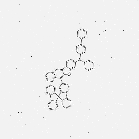 c1ccc(-c2ccc(N(c3ccccc3)c3ccc4c(c3)oc3c(-c5ccc6c(c5)C5(c7ccccc7-c7ccccc75)c5ccccc5-6)c5ccccc5cc34)cc2)cc1